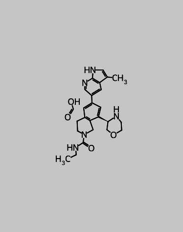 CCNC(=O)N1CCc2cc(-c3cnc4[nH]cc(C)c4c3)cc([C@@H]3COCCN3)c2C1.O=CO